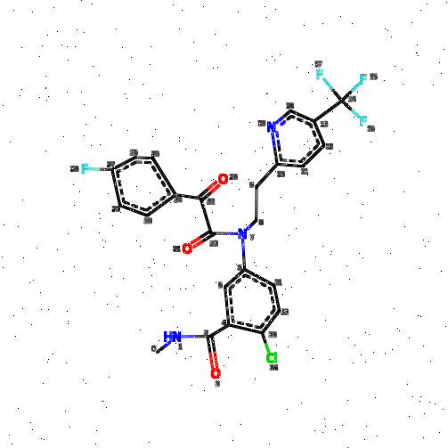 CNC(=O)c1cc(N(CCc2ccc(C(F)(F)F)cn2)C(=O)C(=O)c2ccc(F)cc2)ccc1Cl